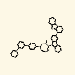 CC1CC(c2ccc(-c3cccc(-c4ccccc4)c3)cc2)C=CN=C1n1c2ccccc2c2cc(-c3cccc4c3sc3ccccc34)ccc21